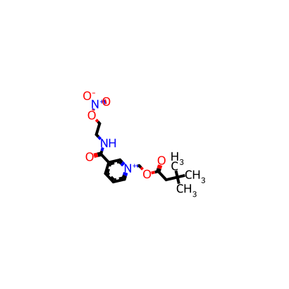 CC(C)(C)CC(=O)OC[n+]1cccc(C(=O)NCCO[N+](=O)[O-])c1